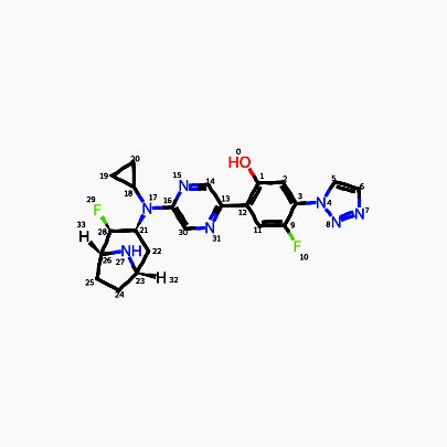 Oc1cc(-n2ccnn2)c(F)cc1-c1cnc(N(C2CC2)[C@H]2C[C@@H]3CC[C@@H](N3)[C@H]2F)cn1